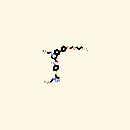 CCCCOCCOc1ccc(-c2ccc3c(c2)C=C(C(=O)Nc2ccc(SCc4cnnn4CCC)cc2)CCN3CCC)cc1